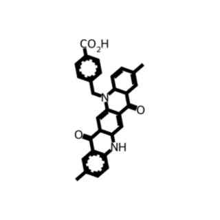 CC1=CC2C(=O)C3=CC4Nc5ccc(C)cc5C(=O)C4C=C3N(Cc3ccc(C(=O)O)cc3)C2C=C1